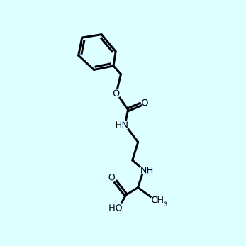 CC(NCCNC(=O)OCc1ccccc1)C(=O)O